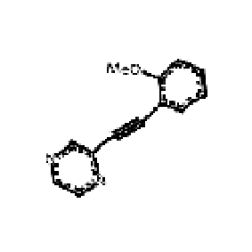 COc1ccccc1C#Cc1cnccn1